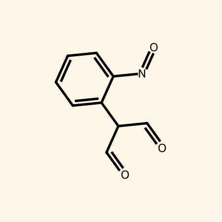 O=CC(C=O)c1ccccc1N=O